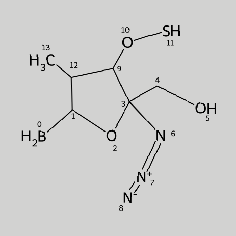 BC1OC(CO)(N=[N+]=[N-])C(OS)C1C